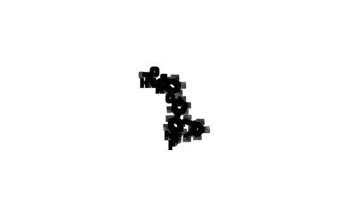 CC(=O)Nc1nc2c(Oc3cc(-c4ccc(C(F)(F)F)cc4CN4CCC[C@H]4C)ccn3)cccc2s1